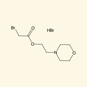 Br.O=C(CBr)OCCN1CCOCC1